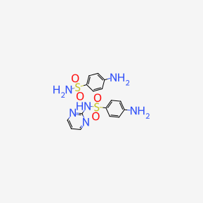 Nc1ccc(S(=O)(=O)Nc2ncccn2)cc1.Nc1ccc(S(N)(=O)=O)cc1